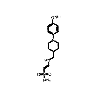 COc1ccc(N2CCC(CNC=CS(N)(=O)=O)CC2)cc1